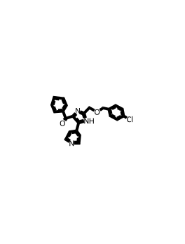 O=C(c1ccccc1)c1nc(COCc2ccc(Cl)cc2)[nH]c1-c1ccncc1